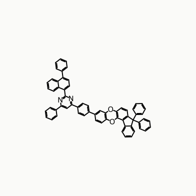 c1ccc(-c2cc(-c3ccc(-c4ccc5c(c4)Oc4ccc6c(c4O5)-c4ccccc4C6(c4ccccc4)c4ccccc4)cc3)nc(-c3ccc(-c4ccccc4)c4ccccc34)n2)cc1